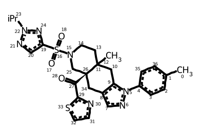 Cc1ccc(-n2ncc3c2CC2(C)CCN(S(=O)(=O)c4cnn(C(C)C)n4)C[C@@]2(C(=O)c2nccs2)C3)cc1